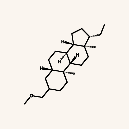 CC[C@H]1CC[C@H]2[C@@H]3CC[C@H]4CC(COC)CC[C@]4(C)[C@H]3CC[C@]12C